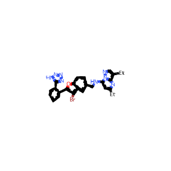 CCc1cc(NCc2ccc3oc(-c4ccccc4-c4nnn[nH]4)c(Br)c3c2)n2ncc(CC)c2n1